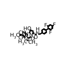 CC(C)[C@@H](C(=O)N1C[C@H](O)C[C@H]1C(=O)NCc1ccc(-c2c(F)cc(F)cc2F)cc1)n1cc(C(C)(C)C)nn1